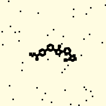 CC(C)n1cnnc1-c1cccc(N2CCN(c3cccc(-c4ccc(C(N)=O)cc4)c3)C2=O)n1